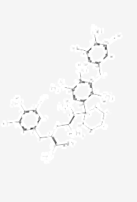 C/C(C/C(Cc1cc(I)c(O)c(I)c1)=C(/O)C(C)C)=C(/C)C1(c2cc(C)c(O)c(Cc3cc(I)c(O)c(I)c3)c2C)CCCCC1